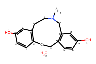 CN1CCc2cc(O)ccc2CCc2ccc(O)cc2C1.O